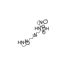 O=C(O)C(CCN1CC(CCc2ccc3c(n2)NCCC3)C1)NC(=O)C1CCCN1c1ccccc1